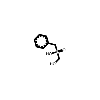 O=P(O)(CO)Cc1ccccc1